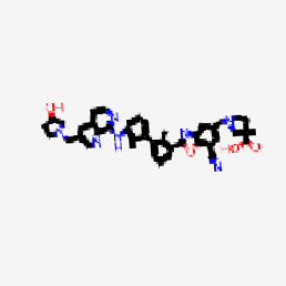 Cc1c(Nc2nccc3cc(CN4CCC(O)C4)cnc23)cccc1-c1cccc(-c2nc3cc(CN4CCC(C)(C(=O)O)C4)cc(C#N)c3o2)c1C